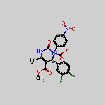 COC(=O)C1=C(C)NC(=O)[N+](C(=O)[O-])(c2ccc([N+](=O)[O-])cc2)[C@H]1c1ccc(F)c(F)c1